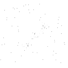 O=c1c2ccc(-c3ccc(-n4c5ccccc5c5ccccc54)cc3)cc2sc2ccc(-c3ccc(-n4c5ccccc5c5ccccc54)cc3)cc12